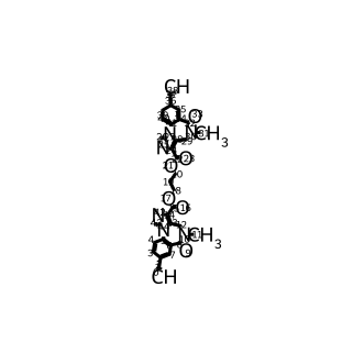 C#Cc1ccc2c(c1)C(=O)N(C)Cc1c(C(=O)OCCCOC(=O)c3ncn4c3CN(C)C(=O)C3=CC(C#C)CC=C34)ncn1-2